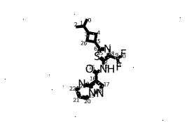 CC(C)C1CC(c2nc(C(F)F)c(NC(=O)c3cnn4cccnc34)s2)C1